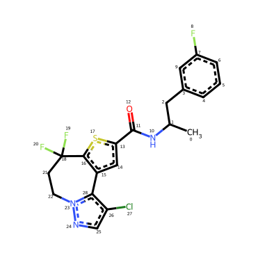 CC(Cc1cccc(F)c1)NC(=O)c1cc2c(s1)C(F)(F)CCn1ncc(Cl)c1-2